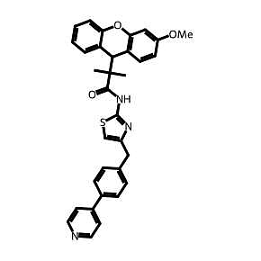 COc1ccc2c(c1)Oc1ccccc1C2C(C)(C)C(=O)Nc1nc(Cc2ccc(-c3ccncc3)cc2)cs1